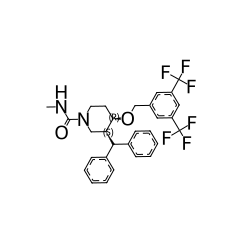 CNC(=O)N1CC[C@@H](OCc2cc(C(F)(F)F)cc(C(F)(F)F)c2)[C@@H](C(c2ccccc2)c2ccccc2)C1